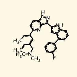 C=C/C(=C\C(=C/C)c1ccc2[nH]nc(-c3cc4c(-c5cccc(F)c5)cccc4[nH]3)c2n1)CN(C)C